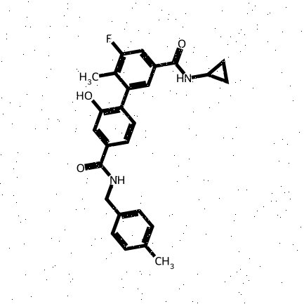 Cc1ccc(CNC(=O)c2ccc(-c3cc(C(=O)NC4CC4)cc(F)c3C)c(O)c2)cc1